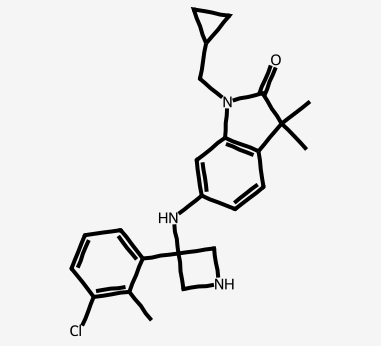 Cc1c(Cl)cccc1C1(Nc2ccc3c(c2)N(CC2CC2)C(=O)C3(C)C)CNC1